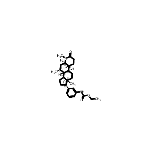 CCOC(=O)Nc1cccc([C@H]2CC[C@H]3[C@@H]4[C@@H](C)C[C@H]5N(C)C(=O)CC[C@]5(C)[C@H]4CC[C@]23C)c1